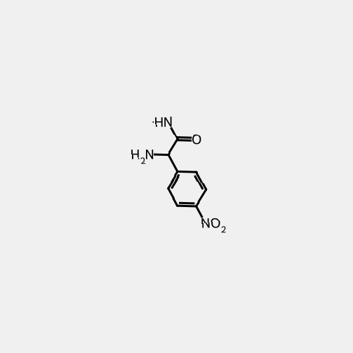 [NH]C(=O)C(N)c1ccc([N+](=O)[O-])cc1